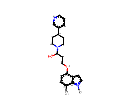 CCn1ccc2c(OCCC(O)N3CCC(c4cccnc4)CC3)ccc(C(F)(F)F)c21